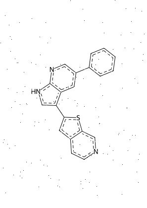 c1ccc(-c2cnc3[nH]cc(-c4cc5ccncc5s4)c3c2)cc1